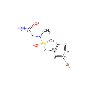 CN(CC(N)=O)S(=O)(=O)Cc1cccc(Br)c1